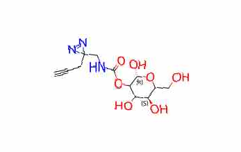 C#CCC1(CNC(=O)OC2C(O)[C@H](O)C(CO)O[C@H]2O)N=N1